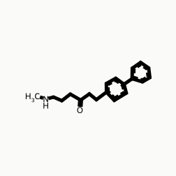 CNCCCC(=O)CCc1ccc(-c2ccccc2)cc1